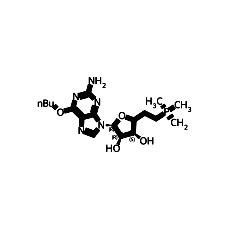 C=P(C)(C)CCC1O[C@@H](n2cnc3c(OCCCC)nc(N)nc32)[C@H](O)[C@@H]1O